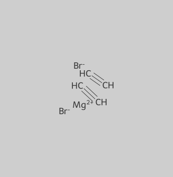 C#C.C#C.[Br-].[Br-].[Mg+2]